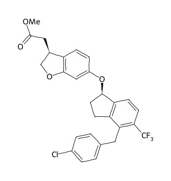 COC(=O)C[C@@H]1COc2cc(O[C@@H]3CCc4c3ccc(C(F)(F)F)c4Cc3ccc(Cl)cc3)ccc21